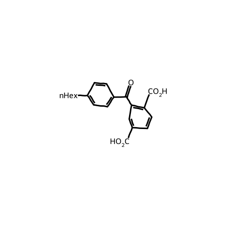 CCCCCCc1ccc(C(=O)c2cc(C(=O)O)ccc2C(=O)O)cc1